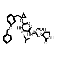 CC(C)C[C@H](NC(=O)OC1(Cc2cccc(OCc3ccccc3)c2)CC1)C(=O)N[C@H](CO)C[C@@H]1CCNC1=O